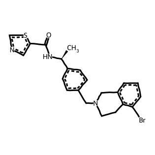 C[C@H](NC(=O)c1cncs1)c1ccc(CN2CCc3c(Br)cccc3C2)cc1